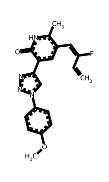 C=C/C(F)=C\c1cc(-c2cn(-c3ccc(OC)cc3)nn2)c(=O)[nH]c1C